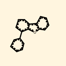 [c]1cc(-c2ccccc2)c2oc3ccccc3c2c1